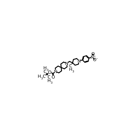 CC1(CN2CCC3(CC2)CCN(C(=O)OC(C)(C)C)CC3)CCN(c2ccc([N+](=O)[O-])cc2)CC1